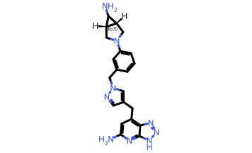 Nc1cc(Cc2cnn(Cc3cccc(N4C[C@@H]5C(N)[C@@H]5C4)c3)c2)c2nn[nH]c2n1